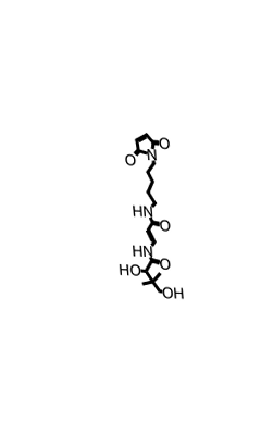 CC(C)(CO)C(O)C(=O)N/C=C/C(=O)NCCCCCN1C(=O)C=CC1=O